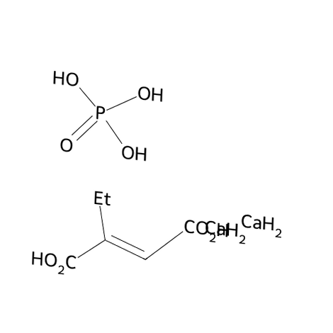 CC/C(=C\C(=O)O)C(=O)O.O=P(O)(O)O.[CaH2].[CaH2]